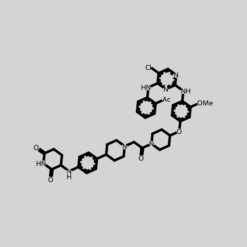 COc1cc(OC2CCN(C(=O)CN3CCC(c4ccc(NC5CCC(=O)NC5=O)cc4)CC3)CC2)ccc1Nc1ncc(Cl)c(Nc2ccccc2C(C)=O)n1